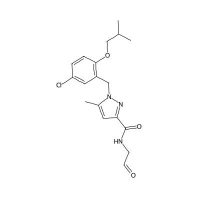 Cc1cc(C(=O)NCC=O)nn1Cc1cc(Cl)ccc1OCC(C)C